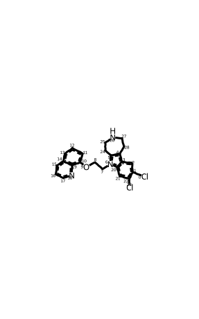 Clc1cc2c3c(n(CCOc4cccc5cccnc45)c2cc1Cl)CCNCC3